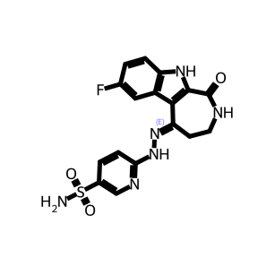 NS(=O)(=O)c1ccc(N/N=C2\CCNC(=O)c3[nH]c4ccc(F)cc4c32)nc1